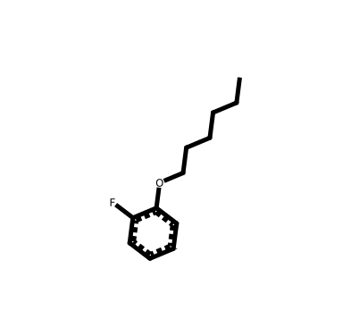 CCCCCCOc1c[c]ccc1F